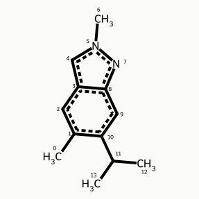 Cc1cc2cn(C)nc2cc1C(C)C